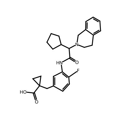 O=C(Nc1cc(CC2(C(=O)O)CC2)ccc1F)C(C1CCCC1)N1CCc2ccccc2C1